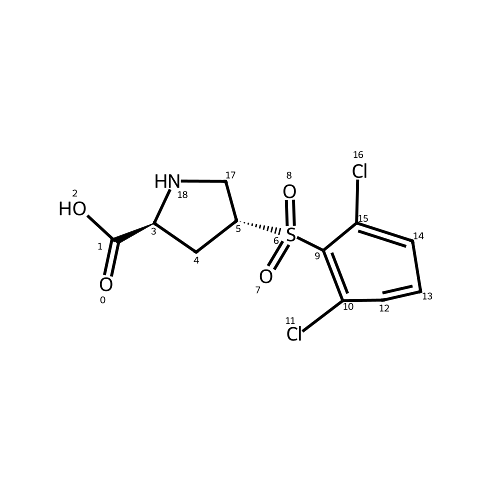 O=C(O)[C@@H]1C[C@@H](S(=O)(=O)c2c(Cl)cccc2Cl)CN1